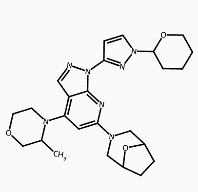 CC1COCCN1c1cc(N2CC3CCC(C2)O3)nc2c1cnn2-c1ccn(C2CCCCO2)n1